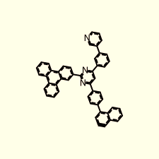 c1cc(-c2ccc(-c3cc(-c4cccc(-c5cccnc5)c4)nc(-c4ccc5c6ccccc6c6ccccc6c5c4)n3)cc2)c2ccccc2c#1